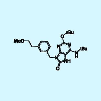 CCCCOc1nc(NC(C)(C)C)c2[nH]c(=O)n(Cc3cccc(CCOC)c3)c2n1